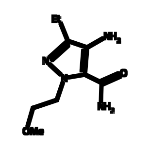 CCc1nn(CCOC)c(C(N)=O)c1N